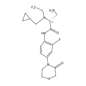 NC[C@H](C(=O)Nc1ccc(N2CCOCC2=O)cc1F)N(CC1CC1)CC(F)(F)F